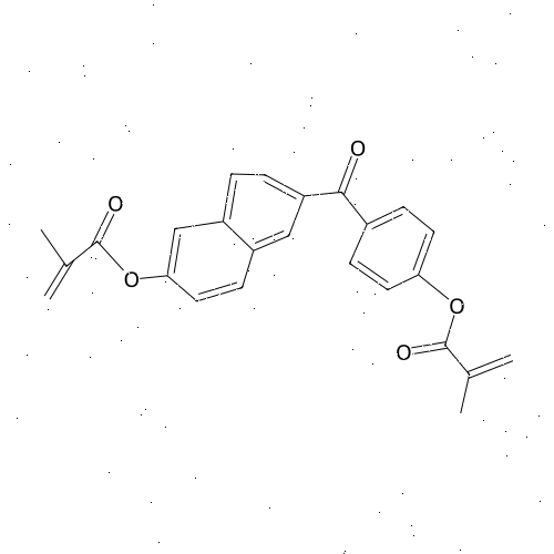 C=C(C)C(=O)Oc1ccc(C(=O)c2ccc3cc(OC(=O)C(=C)C)ccc3c2)cc1